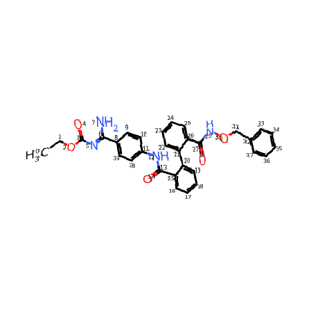 CCOC(=O)N=C(N)c1ccc(NC(=O)c2ccccc2-c2ccccc2C(=O)NOCc2ccccc2)cc1